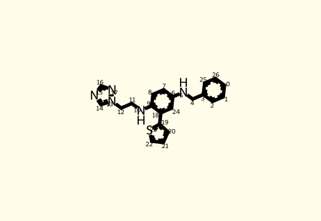 c1ccc(CNc2ccc(NCCn3cncn3)c(-c3cccs3)c2)cc1